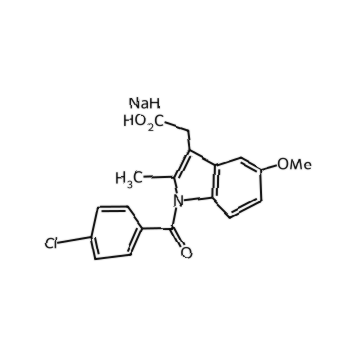 COc1ccc2c(c1)c(CC(=O)O)c(C)n2C(=O)c1ccc(Cl)cc1.[NaH]